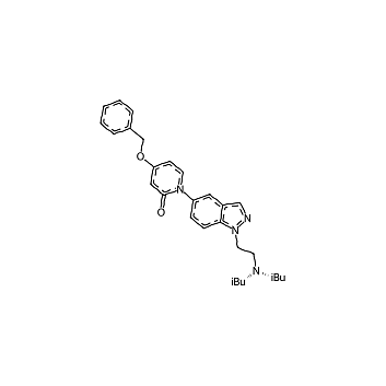 CC[C@@H](C)N(CCn1ncc2cc(-n3ccc(OCc4ccccc4)cc3=O)ccc21)[C@@H](C)CC